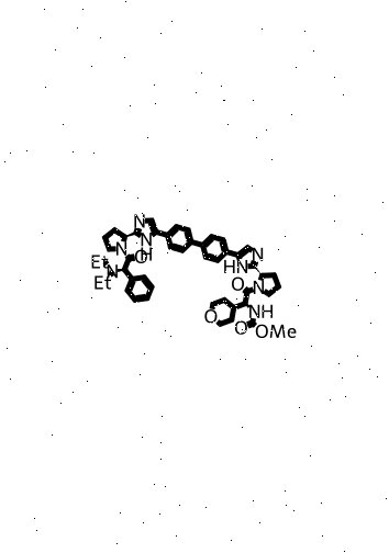 CCN(CC)[C@@H](C(=O)N1CCC[C@H]1c1ncc(-c2ccc(-c3ccc(-c4cnc([C@@H]5CCCN5C(=O)[C@@H](NC(=O)OC)C5CCOCC5)[nH]4)cc3)cc2)[nH]1)c1ccccc1